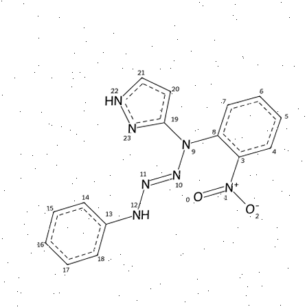 O=[N+]([O-])c1ccccc1N(N=NNc1ccccc1)c1cc[nH]n1